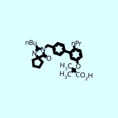 CCCCC1=NC2(CCCC2)C(=O)N1Cc1ccc(-c2cc(OC(C)(C)C(=O)O)ccc2CCC)cc1